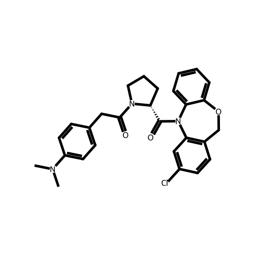 CN(C)c1ccc(CC(=O)N2CCC[C@@H]2C(=O)N2c3cc(Cl)ccc3COc3ccccc32)cc1